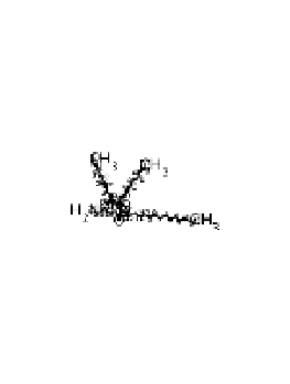 CCCCCCCCCCCCCCOC(=O)[C@H](CCCN)N(C(=O)CCCCCCCCC)C(=O)CCCCCCCCC